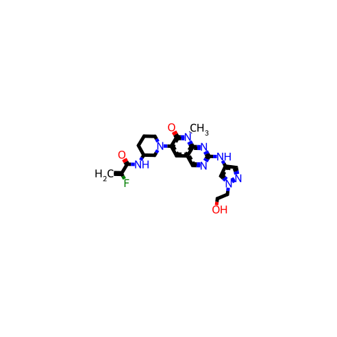 C=C(F)C(=O)NC1CCCN(c2cc3cnc(Nc4cnn(CCO)c4)nc3n(C)c2=O)C1